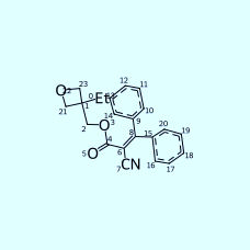 CCC1(COC(=O)C(C#N)=C(c2ccccc2)c2ccccc2)COC1